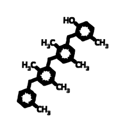 Cc1cccc(Cc2cc(C)cc(Cc3cc(C)cc(Cc4cc(C)ccc4O)c3C)c2C)c1